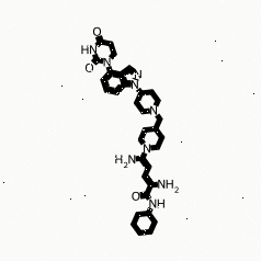 N/C(=C\C=C(/N)N1CCC(CN2CCC(n3ncc4c(N5CCC(=O)NC5=O)cccc43)CC2)CC1)C(=O)NC1CCCCC1